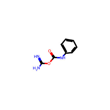 N=C(N)OC(=O)Nc1ccccc1